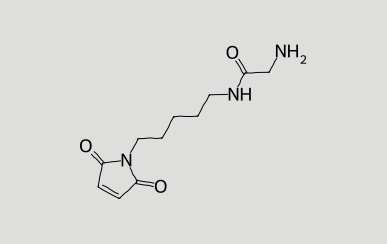 NCC(=O)NCCCCCN1C(=O)C=CC1=O